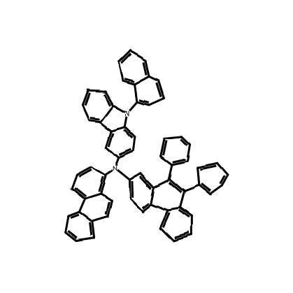 c1ccc(-c2c(-c3ccccc3)c3cc(N(c4ccc5c(c4)c4ccccc4n5-c4cccc5ccccc45)c4cccc5c4ccc4ccccc45)ccc3c3ccccc23)cc1